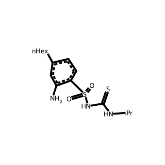 CCCCCCc1ccc(S(=O)(=O)NC(=S)NC(C)C)c(N)c1